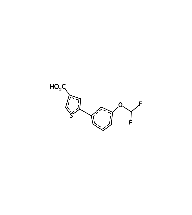 O=C(O)c1csc(-c2cccc(OC(F)F)c2)c1